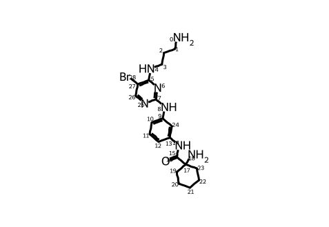 NCCCNc1nc(Nc2cccc(NC(=O)C3(N)CCCCC3)c2)ncc1Br